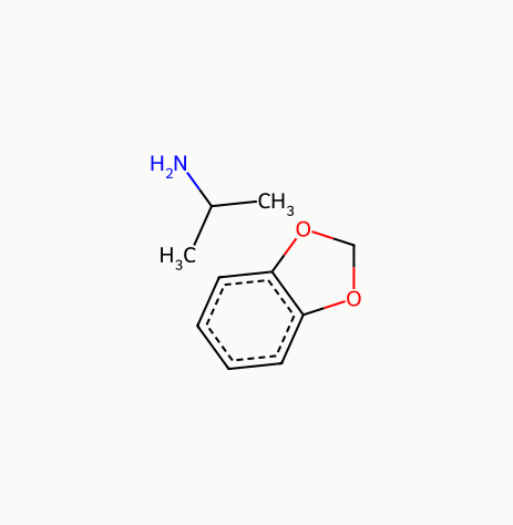 CC(C)N.c1ccc2c(c1)OCO2